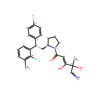 Cc1cccc([C@@H](C[C@H]2CCCN2C(=O)/C=C(\O)C(C)(O)C=N)c2ccc(F)cc2)c1F